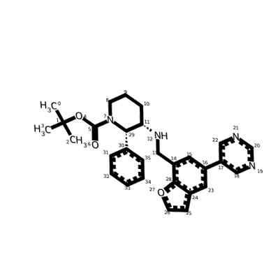 CC(C)(C)OC(=O)N1CCC[C@H](NCc2cc(-c3cncnc3)cc3ccoc23)[C@@H]1c1ccccc1